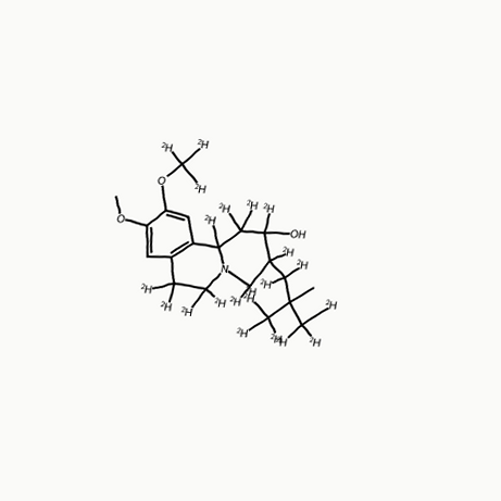 [2H]C([2H])([2H])Oc1cc2c(cc1OC)C([2H])([2H])C([2H])([2H])N1C([2H])([2H])C([2H])(C([2H])([2H])C(C)(C([2H])([2H])[2H])C([2H])([2H])[2H])C([2H])(O)C([2H])([2H])C21[2H]